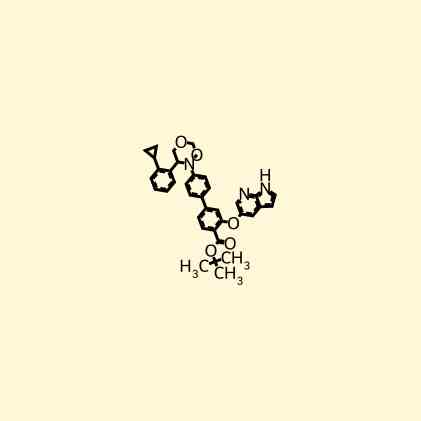 CC(C)(C)OC(=O)c1ccc(-c2ccc(N3OCOCC3c3ccccc3C3CC3)cc2)cc1Oc1cnc2[nH]ccc2c1